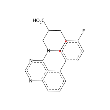 O=C(O)C1CCCN(c2ncnc3cccc(-c4ccc(F)cc4)c23)C1